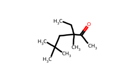 CCC(C)(CC(C)(C)C)C(C)=O